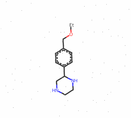 CCOCc1ccc(C2CNCCN2)cc1